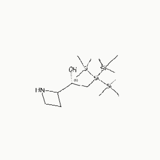 C[Si](C)(C)[Si](C[C@@H](O)C1CCN1)([Si](C)(C)C)[Si](C)(C)C